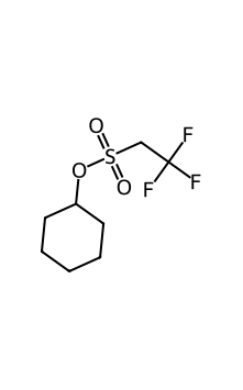 O=S(=O)(CC(F)(F)F)OC1CCCCC1